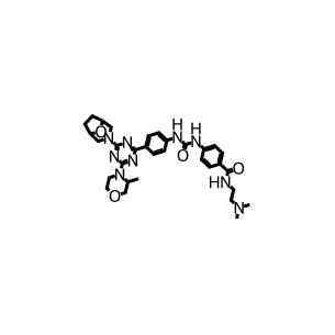 CC1COCCN1c1nc(-c2ccc(NC(=O)Nc3ccc(C(=O)NCCN(C)C)cc3)cc2)nc(N2CC3CCC(C2)O3)n1